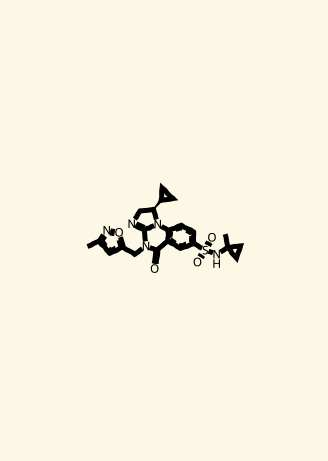 Cc1cc(CN2C(=O)c3cc(S(=O)(=O)NC4(C)CC4)ccc3N3C2=NC[C@H]3C2CC2)on1